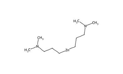 CN(C)CC[CH2][Zn][CH2]CCN(C)C